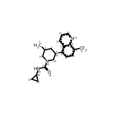 CC1C[C@@H](c2ccc(C(F)(F)F)c3ncccc23)CN(C(=O)NC2CC2)C1